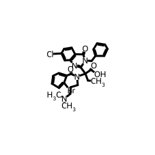 CCC(C(=O)O)(c1nc2cc(Cl)ccc2c(=O)n1Cc1ccccc1)N(CCCN(C)C)C(=O)c1ccccc1Br